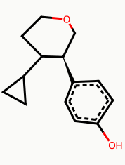 Oc1ccc([C@@H]2COCCC2C2CC2)cc1